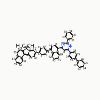 CC1(C)c2cc(-c3ccc(-c4ccc(-c5cc(-c6ccc(-c7ccccc7)cc6)nc(-c6ccccc6)n5)c5ccccc45)cc3)ccc2-c2c1ccc1ccccc21